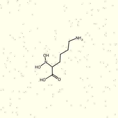 NCCCCC(C(=O)O)N(O)O